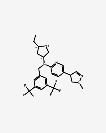 CC[C@@H]1C[C@H](N(Cc2cc(C(F)(F)F)cc(C(F)(F)F)c2)c2ncc(C3C=NN(C)C3)cn2)CN1